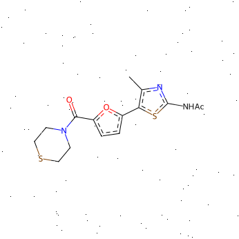 CC(=O)Nc1nc(C)c(-c2ccc(C(=O)N3CCSCC3)o2)s1